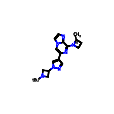 C[C@H]1CCN1c1nc(-c2cnn(C3CN(C(C)(C)C)C3)c2)cn2ccnc12